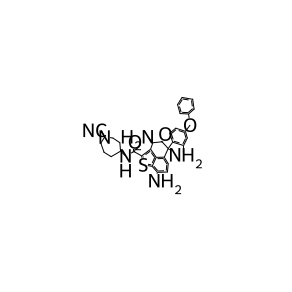 Cc1cc(Oc2ccccc2)ccc1C1(N)C(=O)C(N)c2c(C(=O)NC3CCCN(C#N)CC3)sc3c(N)ccc1c23